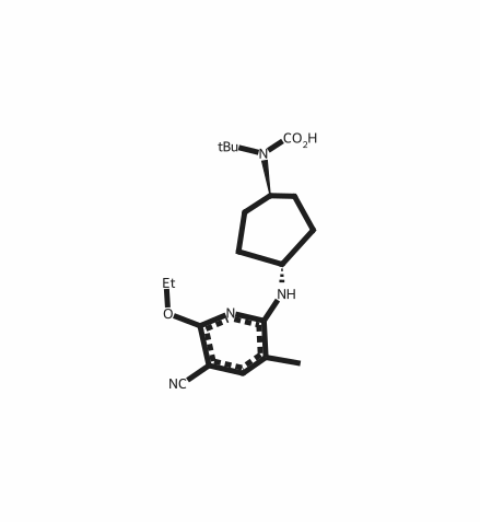 CCOc1nc(N[C@H]2CC[C@H](N(C(=O)O)C(C)(C)C)CC2)c(C)cc1C#N